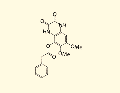 COc1cc2[nH]c(=O)c(=O)[nH]c2c(OC(=O)Cc2ccccc2)c1OC